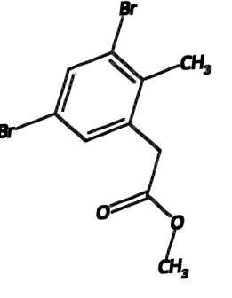 COC(=O)Cc1cc(Br)cc(Br)c1C